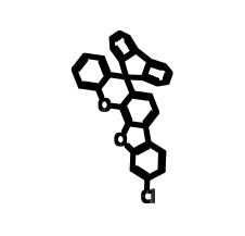 Clc1ccc2c(c1)oc1c3c(ccc12)C1(c2ccccc2O3)c2ccccc2-c2ccccc21